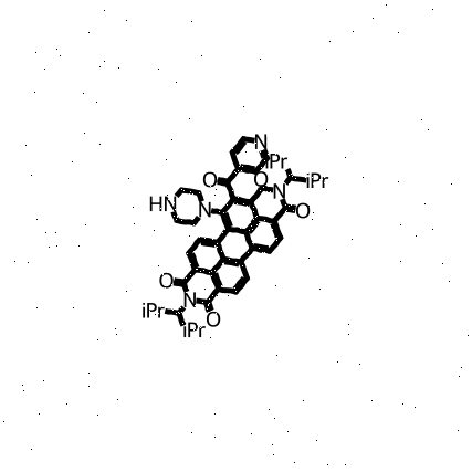 CC(C)C(C(C)C)N1C(=O)c2ccc3c4ccc5c6c(c(C(=O)c7ccncc7)c(N7CCNCC7)c(c7ccc(c2c37)C1=O)c64)C(=O)N(C(C(C)C)C(C)C)C5=O